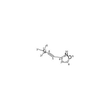 C[Si](C)(C)C#Cc1ccon1